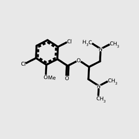 COc1c(Cl)ccc(Cl)c1C(=O)OC(CN(C)C)CN(C)C